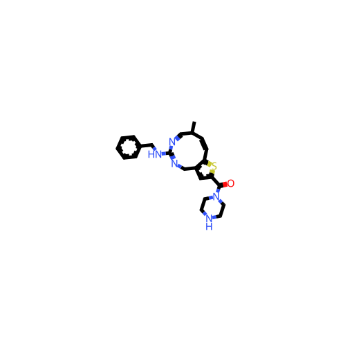 CC1/C=C\c2sc(C(=O)N3CCNCC3)cc2C/N=C(NCc2ccccc2)\N=C/1